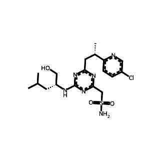 CC(C)C[C@H](CO)Nc1nc(C[C@H](C)c2ccc(Cl)cn2)nc(CS(N)(=O)=O)n1